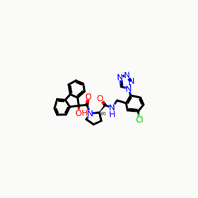 O=C(NCc1cc(Cl)ccc1-n1cnnn1)[C@H]1CCCN1C(=O)C1(O)c2ccccc2-c2ccccc21